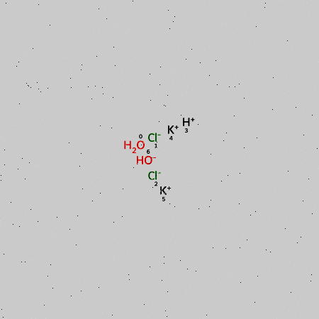 O.[Cl-].[Cl-].[H+].[K+].[K+].[OH-]